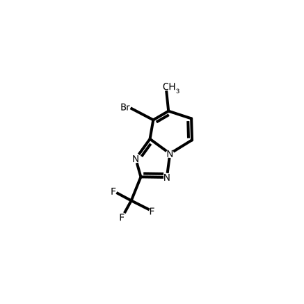 Cc1ccn2nc(C(F)(F)F)nc2c1Br